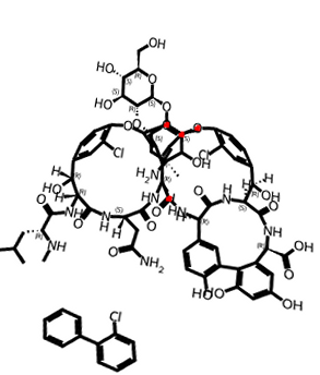 CN[C@H](CC(C)C)C(=O)N[C@H]1C(=O)N[C@@H](CC(N)=O)C(=O)N[C@H]2C(=O)N[C@H]3C(=O)N[C@H](C(=O)N[C@@H](C(=O)O)c4cc(O)cc(O)c4-c4cc3ccc4O)[C@H](O)c3ccc(c(Cl)c3)Oc3cc2cc(c3O[C@@H]2O[C@H](CO)[C@@H](O)[C@H](O)[C@H]2O[C@H]2C[C@](C)(N)C(O)[C@H](C)O2)Oc2ccc(cc2Cl)[C@H]1O.Clc1ccccc1-c1ccccc1